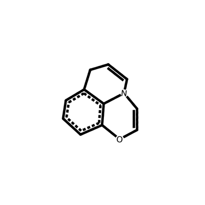 C1=CN2C=COc3cccc(c32)C1